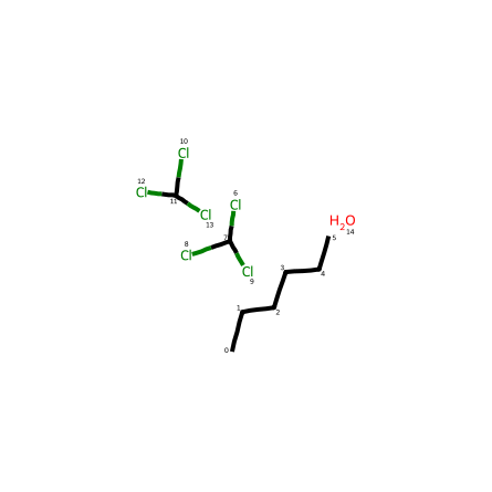 CCCCCC.ClC(Cl)Cl.ClC(Cl)Cl.O